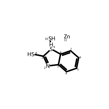 SC1=Nc2ccccc2[SH]1S.[Zn]